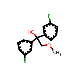 COCC(O)(c1cccc(F)c1)c1cccc(F)c1